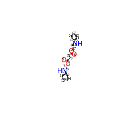 O=C(/C=C/C(=O)OCCNc1ccccc1)OCCNc1ccccc1